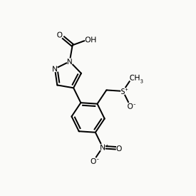 C[S+]([O-])Cc1cc([N+](=O)[O-])ccc1-c1cnn(C(=O)O)c1